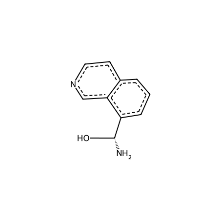 N[C@H](O)c1cccc2ccncc12